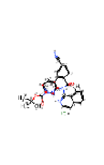 Cc1cccc2ccnc(N(C(=O)c3ccc(C#N)cc3-c3cccnc3)[C@@H]3CCCN(C(=O)OC(C)(C)C)C3)c12.Cl